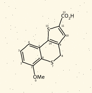 COc1cccc2c1SCc1cc(C(=O)O)sc1-2